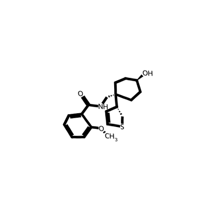 COc1ccccc1C(=O)NC[C@]1([C@H]2C=CSC2)CC[C@@H](O)CC1